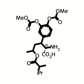 COC(=O)Oc1ccc(C(CC(C)OC(=O)C(C)C(C)C)[C@H](N)C(=O)O)cc1OC(=O)OC